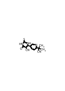 CC(C)(C#N)c1ccc(-c2[nH]c(=S)[nH]c(=O)c2C#N)cn1